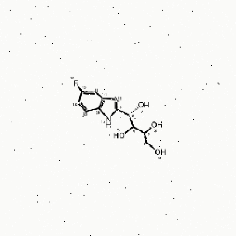 OCC(O)C(O)[C@@H](O)c1nc2cc(F)ccc2[nH]1